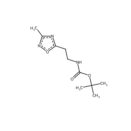 Cc1noc(CCNC(=O)OC(C)(C)C)n1